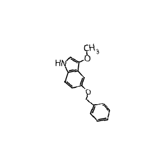 COc1c[nH]c2ccc(OCc3ccccc3)cc12